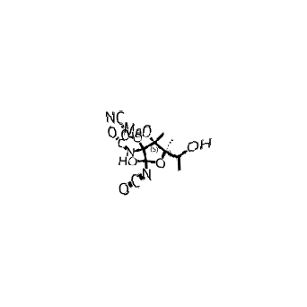 CO[C@]1(C)C(N=C=O)(OOC#N)C(O)(N=C=O)O[C@]1(C)C(C)O